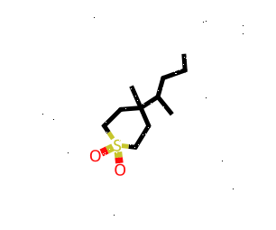 CCCC(C)C1(C)CCS(=O)(=O)CC1